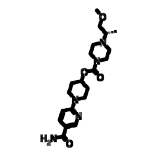 COC[C@H](C)N1CCN(C(=O)OC2CCN(c3ccc(C(N)=O)cn3)CC2)CC1